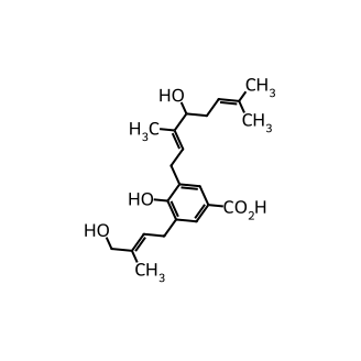 CC(C)=CCC(O)/C(C)=C/Cc1cc(C(=O)O)cc(C/C=C(\C)CO)c1O